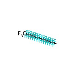 CC(F)(F)C(F)(F)C(F)(F)C(F)(F)C(F)(F)C(F)(F)C(F)(F)C(F)(F)C(F)(F)C(F)(F)C(F)(F)C(F)(F)C(F)(F)C(F)(F)C(F)(F)C(F)(F)C(F)(F)F